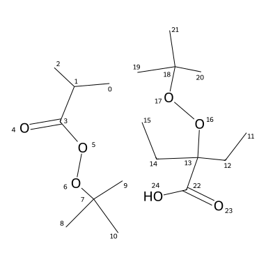 CC(C)C(=O)OOC(C)(C)C.CCC(CC)(OOC(C)(C)C)C(=O)O